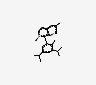 Cc1ccc2c(-c3cc(C(C)C)cc(C(C)C)c3C)[n+](C)ccc2c1